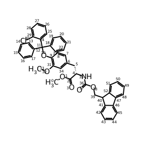 COC(=O)[C@H](Cc1ccc(OC(c2ccccc2)(c2ccccc2)c2ccccc2Cl)c(OC)c1)NC(=O)OCC1c2ccccc2-c2ccccc21